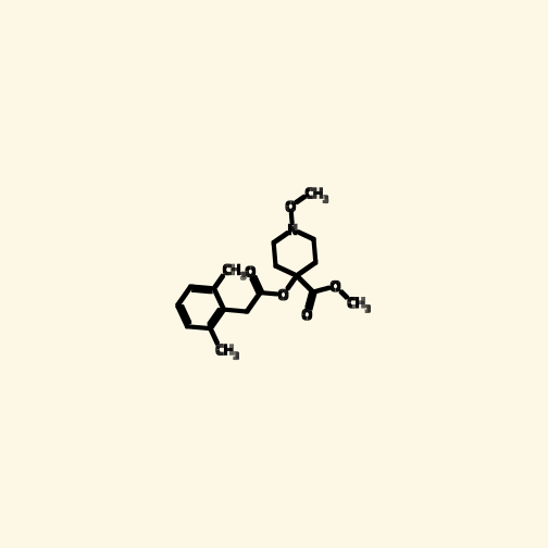 COC(=O)C1(OC(=O)Cc2c(C)cccc2C)CCN(OC)CC1